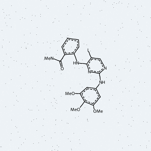 CNC(=O)c1ccccc1Nc1nc(Nc2cc(OC)c(OC)c(OC)c2)ncc1I